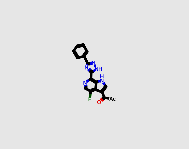 CC(=O)C(=O)c1c[nH]c2c(-c3nc(-c4ccccc4)n[nH]3)ncc(F)c12